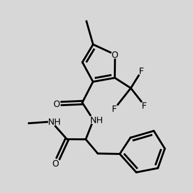 CNC(=O)C(Cc1ccccc1)NC(=O)c1cc(C)oc1C(F)(F)F